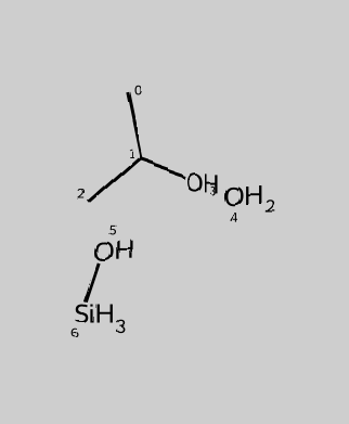 CC(C)O.O.O[SiH3]